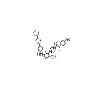 CC(=O)c1ccc(NC(=O)N2CCN(c3nc(Nc4ccc(N5CCC(N6CCCCC6)CC5)cc4)ncc3C)CC2)cc1